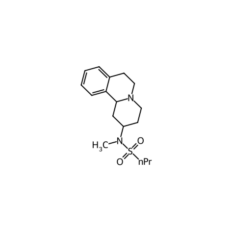 CCCS(=O)(=O)N(C)C1CCN2CCc3ccccc3C2C1